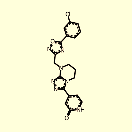 O=c1cc(-c2nnc3n2CCCN3Cc2noc(-c3cccc(Cl)c3)n2)cc[nH]1